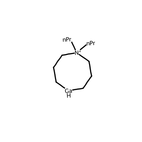 CCC[N+]1(CCC)CC[CH2][GaH][CH2]CC1